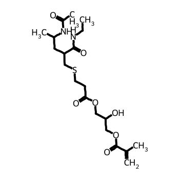 C=C(C)C(=O)OCC(O)COC(=O)CCSCC(CC(C)NC(C)=O)C(=O)NCC